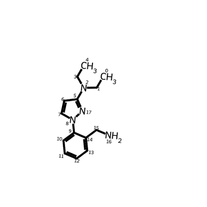 CCN(CC)c1ccn(-c2ccccc2CN)n1